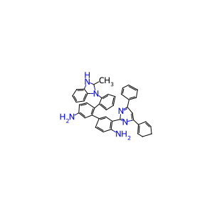 CC1Nc2ccccc2N1c1ccccc1-c1ccc(N)cc1-c1ccc(N)c(-c2nc(C3=CCCC=C3)cc(-c3ccccc3)n2)c1